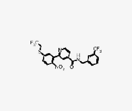 O=C(NCc1cccc(C(F)(F)F)c1)c1ccnc(-c2cc(SCC(F)(F)F)ccc2[N+](=O)[O-])c1